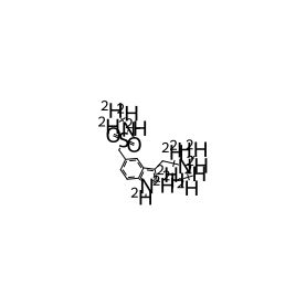 [2H]c1c(CC([2H])([2H])N(C([2H])([2H])[2H])C([2H])([2H])[2H])c2cc(CS(=O)(=O)N([2H])C([2H])([2H])[2H])ccc2n1[2H]